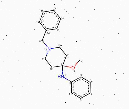 COC1(Nc2ccccc2)CCN(Cc2ccccc2)CC1